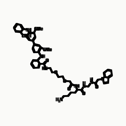 COc1cc(-c2ccc(Nc3ccccc3C(=O)NCCOCCOCC(=O)NC(CCCCN)C(=O)NCNC(=O)Cn3ccc4ccccc43)c(OC)c2)ccc1Nc1ccccc1C(=O)O